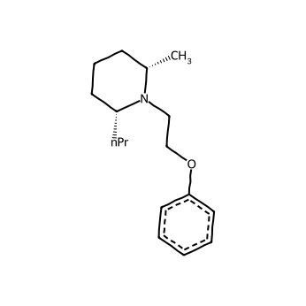 CCC[C@@H]1CCC[C@H](C)N1CCOc1ccccc1